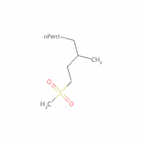 CCCCCCC(C)CCS(C)(=O)=O